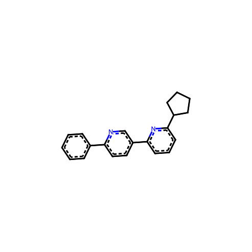 c1ccc(-c2ccc(-c3cccc(C4CCCC4)n3)cn2)cc1